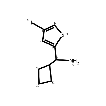 NC(c1cc(I)cs1)C1CCC1